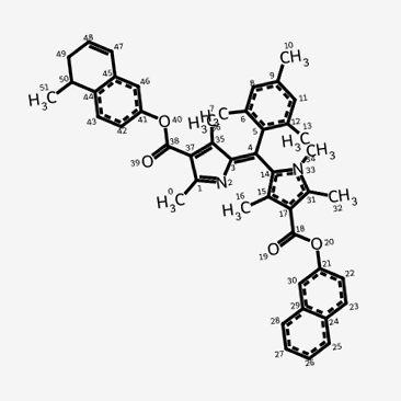 CC1=N/C(=C(/c2c(C)cc(C)cc2C)c2c(C)c(C(=O)Oc3ccc4ccccc4c3)c(C)n2C)C(C)=C1C(=O)Oc1ccc2c(c1)C=CCC2C